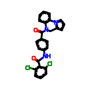 O=C(Nc1ccc(C(=O)N2Cc3cccn3-c3ccccc32)cc1)c1c(Cl)cccc1Cl